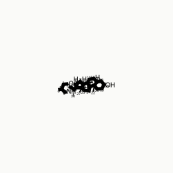 CC1CC[C@]2(NC1)O[C@H]1C[C@H]3[C@]4(C)CC[C@H]5C[C@@H](O)CC[C@]5(C)[C@H]4CC[C@]3(C)[C@H]1[C@@H]2C